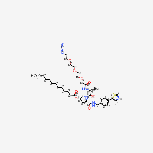 Cc1ncsc1-c1ccc(CNC(=O)[C@@H]2C[C@@H](OC(=O)CCCCCCCCCCC(=O)O)CN2C(=O)[C@@H](NC(=O)COCCOCCOCCN=[N+]=[N-])C(C)(C)C)cc1